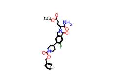 CC(C)(C)OC(=O)CCC(C(N)=O)N1Cc2cc(C3=CCN(C(=O)OCc4ccccc4)CC3)c(F)cc2C1=O